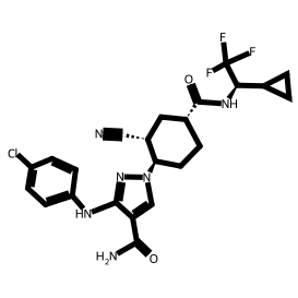 N#C[C@@H]1C[C@H](C(=O)N[C@H](C2CC2)C(F)(F)F)CC[C@H]1n1cc(C(N)=O)c(Nc2ccc(Cl)cc2)n1